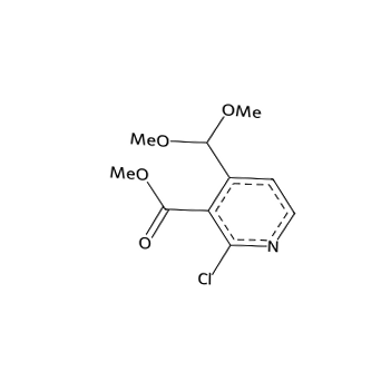 COC(=O)c1c(C(OC)OC)ccnc1Cl